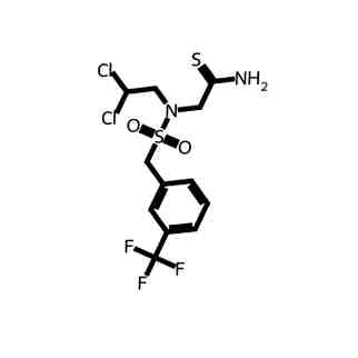 NC(=S)CN(CC(Cl)Cl)S(=O)(=O)Cc1cccc(C(F)(F)F)c1